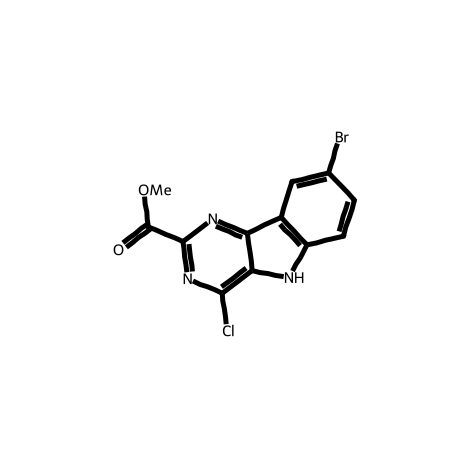 COC(=O)c1nc(Cl)c2[nH]c3ccc(Br)cc3c2n1